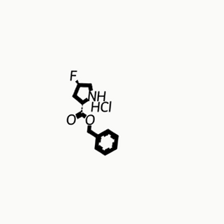 Cl.O=C(OCc1ccccc1)[C@@H]1C[C@@H](F)CN1